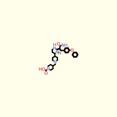 NC(=O)c1c(-c2ccc(Oc3ccccc3)cc2)nn2c1NCCC2C1CCN(CC2CCN(C(=O)O)CC2)CC1